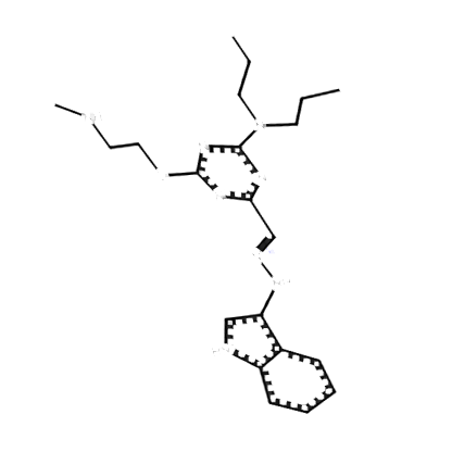 CCCN(CCC)c1nc(/C=N/Nc2c[nH]c3ccccc23)nc(OCCNC)n1